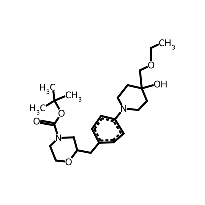 CCOCC1(O)CCN(c2ccc(CC3CN(C(=O)OC(C)(C)C)CCO3)cc2)CC1